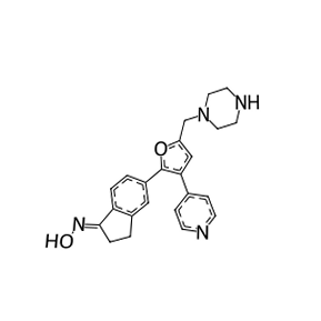 O/N=C1\CCc2cc(-c3oc(CN4CCNCC4)cc3-c3ccncc3)ccc21